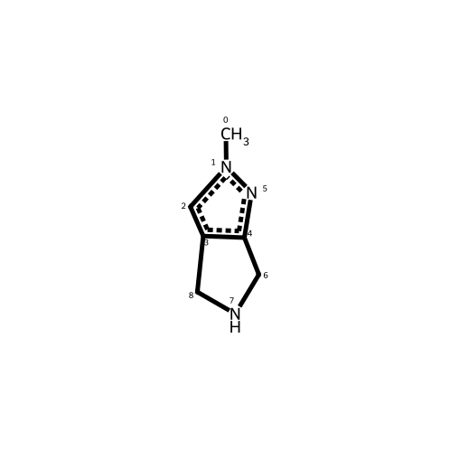 Cn1cc2c(n1)CNC2